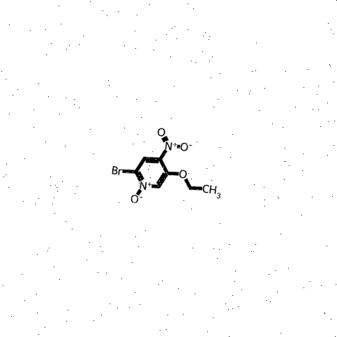 CCOc1c[n+]([O-])c(Br)cc1[N+](=O)[O-]